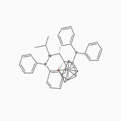 CC(C)N([C@H](C)[C@@]12[CH]3[CH]4[CH]5[C]1(P(c1ccccc1)c1ccccc1)[Fe]45321678[CH]2[CH]1[CH]6[CH]7[CH]28)P(c1ccccc1)c1ccccc1